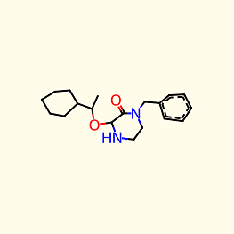 CC(OC1NCCN(Cc2ccccc2)C1=O)C1CCCCC1